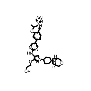 CC(Cn1cnnn1)Oc1cc(-c2cnc(Nc3cn(C4CCC(N5[C@@H]6CC[C@H]5COC6)CC4)nc3OCCO)nc2)ccc1C#N